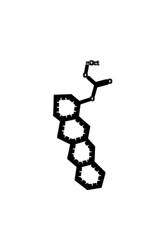 CCCCCCCCOC(=O)Oc1cccc2cc3cc4ccccc4cc3cc12